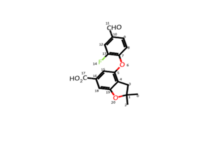 CC1(C)Cc2c(Oc3ccc(C=O)cc3F)cc(C(=O)O)cc2O1